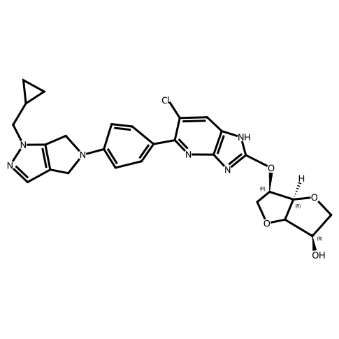 O[C@@H]1CO[C@H]2C1OC[C@H]2Oc1nc2nc(-c3ccc(N4Cc5cnn(CC6CC6)c5C4)cc3)c(Cl)cc2[nH]1